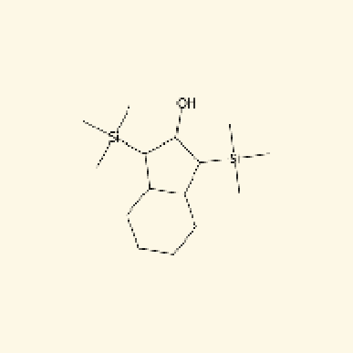 C[Si](C)(C)C1C(O)C([Si](C)(C)C)C2CCCCC21